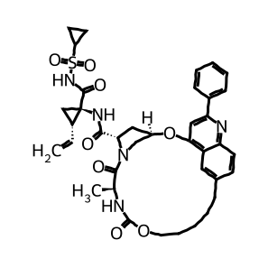 C=C[C@@H]1C[C@]1(NC(=O)[C@@H]1C[C@@H]2CN1C(=O)[C@H](C)NC(=O)OCCCCCc1ccc3nc(-c4ccccc4)cc(c3c1)O2)C(=O)NS(=O)(=O)C1CC1